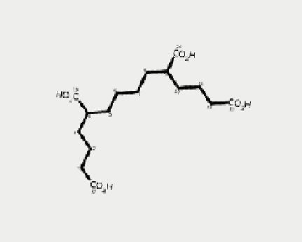 O=C(O)CCCC(CCCCC(CCCC(=O)O)C(=O)O)C(=O)O